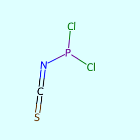 S=C=NP(Cl)Cl